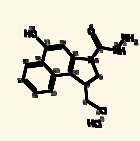 Cl.NNC(=O)N1CC(CCl)c2c1cc(O)c1ccccc21